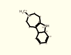 CN1CCC2=C(CC1)C1C=CC=CC1N2